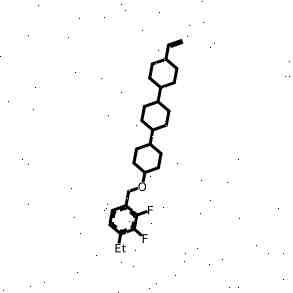 C=CC1CCC(C2CCC(C3CCC(OCc4ccc(CC)c(F)c4F)CC3)CC2)CC1